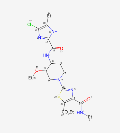 CCNC(=O)c1nc(N2CCC(NC(=O)c3nc(Cl)c(CC)[nH]3)C(OCC)C2)sc1C(=O)OCC